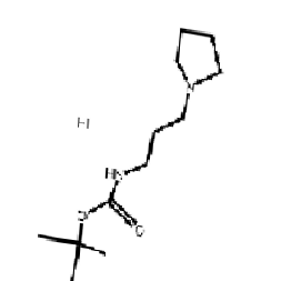 CC(C)(C)OC(=O)NCCCN1CCCC1.I